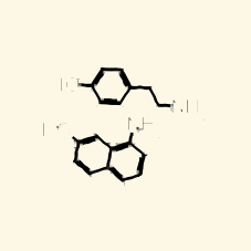 NCCc1ccc(O)cc1.Nc1cccc2ccc(O)cc12